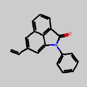 C=Cc1cc2c3c(cccc3c1)C(=O)N2c1ccccc1